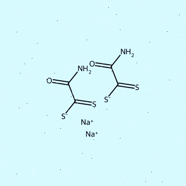 NC(=O)C(=S)[S-].NC(=O)C(=S)[S-].[Na+].[Na+]